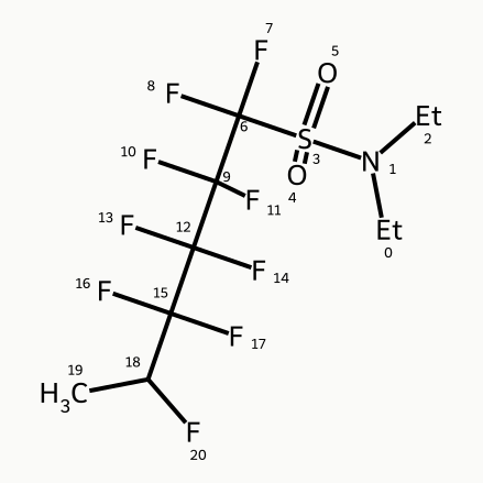 CCN(CC)S(=O)(=O)C(F)(F)C(F)(F)C(F)(F)C(F)(F)C(C)F